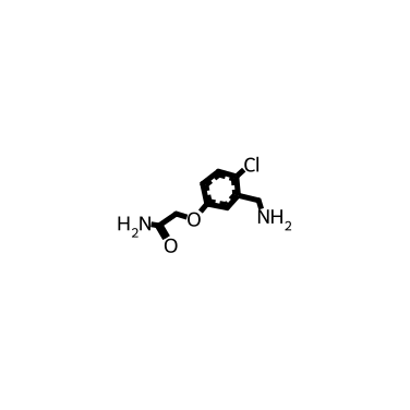 NCc1cc(OCC(N)=O)ccc1Cl